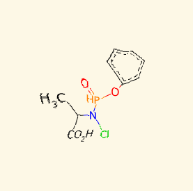 CC(C(=O)O)N(Cl)[PH](=O)Oc1ccccc1